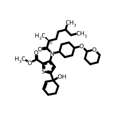 CCC(C)CC[C@H](C)C(=O)N(c1cc(C2(O)C=CCCC2)sc1C(=O)OC)C1CCC(OC2CCCCO2)CC1